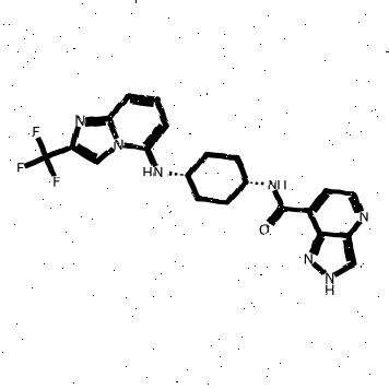 O=C(N[C@H]1CC[C@@H](Nc2cccc3nc(C(F)(F)F)cn23)CC1)c1ccnc2c[nH]nc12